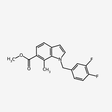 COC(=O)c1ccc2ccn(Cc3ccc(F)c(F)c3)c2c1C